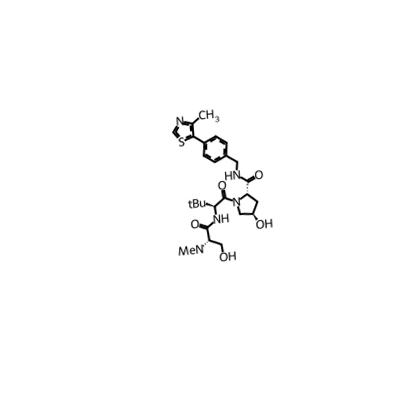 CN[C@@H](CO)C(=O)N[C@H](C(=O)N1C[C@H](O)C[C@H]1C(=O)NCc1ccc(-c2scnc2C)cc1)C(C)(C)C